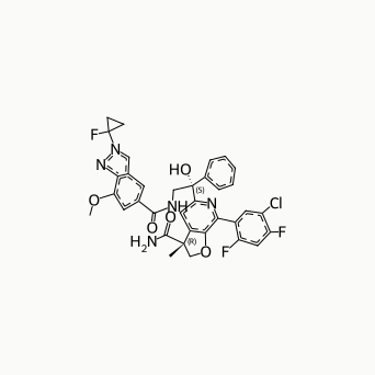 COc1cc(C(=O)NC[C@@](O)(c2ccccc2)c2cc3c(c(-c4cc(Cl)c(F)cc4F)n2)OC[C@]3(C)C(N)=O)cc2cn(C3(F)CC3)nc12